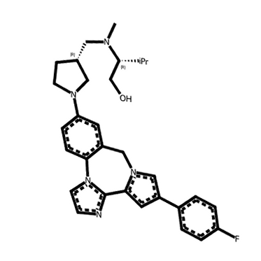 CC(C)[C@H](CO)N(C)C[C@H]1CCN(c2ccc3c(c2)Cn2cc(-c4ccc(F)cc4)cc2-c2nccn2-3)C1